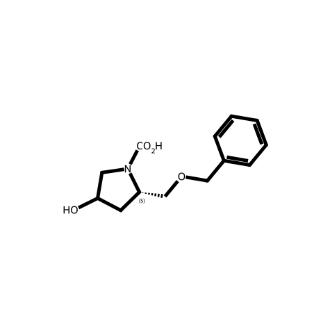 O=C(O)N1CC(O)C[C@H]1COCc1ccccc1